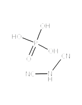 N#CNC#N.O=P(O)(O)O